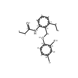 CCC(=O)Nc1cccc(CC)c1COc1ccc(C)cc1F